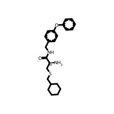 N[C@@H](CSCC1CCCCC1)C(=O)NCc1ccc(Oc2ccccc2)cc1